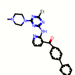 CCc1nc(Nc2ncccc2C(=O)c2ccc(-c3ccccc3)cc2)nc(N2CCN(C)CC2)n1